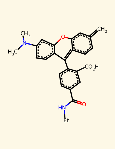 C=c1ccc2c(c1)Oc1cc(N(C)C)ccc1C=2c1ccc(C(=O)NCC)cc1C(=O)O